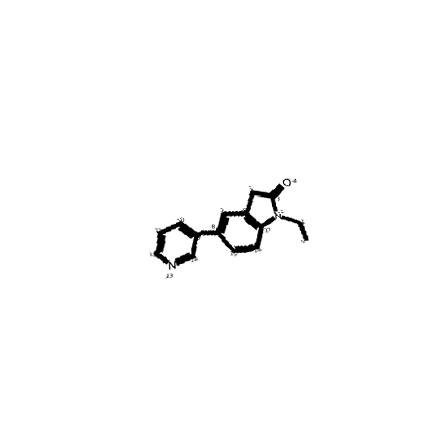 CCN1C(=O)Cc2cc(-c3cccnc3)ccc21